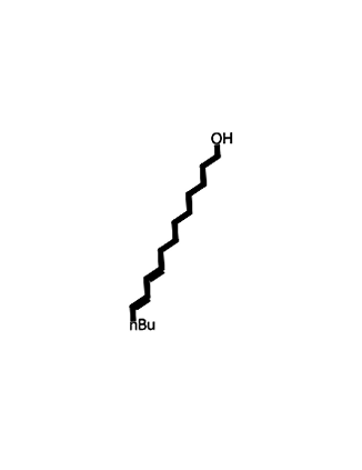 CCCC/C=C/C=C/CCCCCCCCO